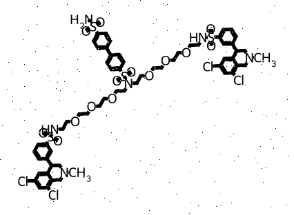 CN1Cc2c(Cl)cc(Cl)cc2C(c2cccc(S(=O)(=O)NCCOCCOCCOCCN(CCOCCOCCOCCNS(=O)(=O)c3cccc(C4CN(C)Cc5c(Cl)cc(Cl)cc54)c3)S(=O)(=O)c3ccc(-c4ccc(S(N)(=O)=O)cc4)cc3)c2)C1